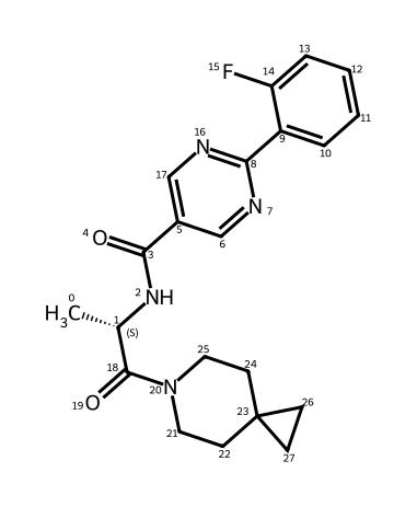 C[C@H](NC(=O)c1cnc(-c2ccccc2F)nc1)C(=O)N1CCC2(CC1)CC2